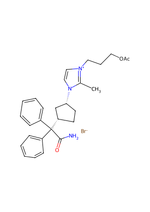 CC(=O)OCCC[n+]1ccn([C@@H]2CC[C@H](C(C(N)=O)(c3ccccc3)c3ccccc3)C2)c1C.[Br-]